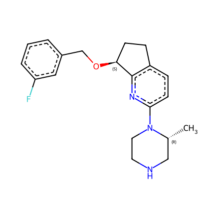 C[C@@H]1CNCCN1c1ccc2c(n1)[C@@H](OCc1cccc(F)c1)CC2